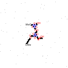 COCCCCCCCOC(=O)CCn1c(=O)n(CCC(=O)OCCn2c(=O)n(CCO)c(=O)n(CCOC)c2=O)c(=O)n(CCC(=O)OCC(C)O)c1=O